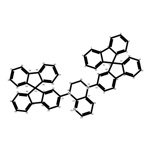 c1ccc2c(c1)-c1ccccc1C21c2ccccc2-c2ccc(N3CCN(c4ccc5c(c4)C4(c6ccccc6-c6ccccc64)c4ccccc4-5)c4ncccc43)cc21